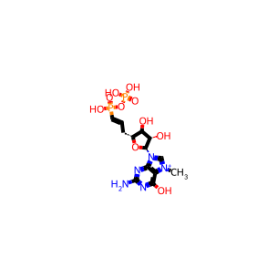 C[n+]1cn([C@@H]2O[C@H](CC=CP(=O)(O)OP(=O)(O)O)C(O)[C@@H]2O)c2nc(N)nc(O)c21